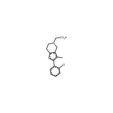 Cc1c(-c2ccccc2Cl)sc2c1CN(CC(=O)O)CC2